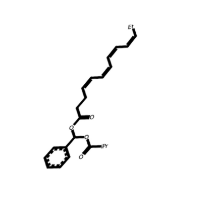 CC\C=C/C=C\C=C/C=C\CCC(=O)OC(OC(=O)C(C)C)c1ccccc1